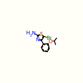 CC(C)Oc1ccccc1-c1nc(N)sc1Br